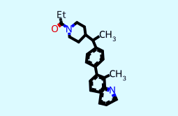 CCC(=O)N1CCC(C(C)c2ccc(-c3ccc4cccnc4c3C)cc2)CC1